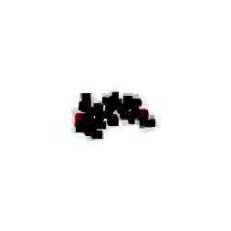 CCOc1ccc(C2CCC2C(=O)c2cc(OC)c(OC)c(OC)c2)cc1